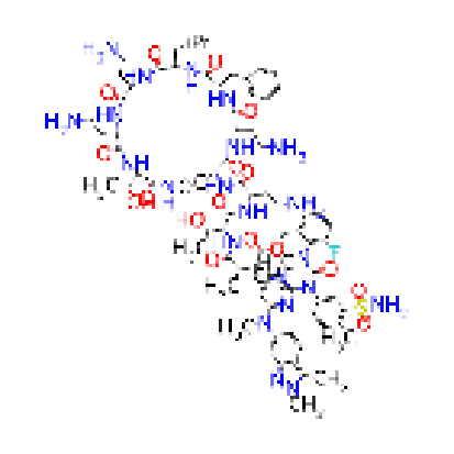 Cc1ccc(N(C(=O)N(C)c2c(F)cccc2COC(=O)C(C)C(C)C(=O)N[C@H](C(=O)N[C@H](CCN)C(=O)N[C@H]2CCNC(=O)[C@@H]([C@@H](C)O)NC(=O)[C@@H](CCN)NC(=O)[C@@H](CCN)NC(=O)[C@@H](CC(C)C)NC(=O)[C@@H](Cc3ccccc3)NC(=O)[C@@H](CCN)NC2=O)[C@@H](C)O)c2nccc(N(C)c3ccc4c(C)n(C)nc4c3)n2)cc1S(N)(=O)=O